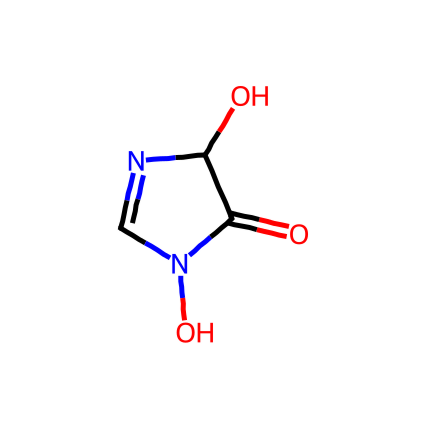 O=C1C(O)N=CN1O